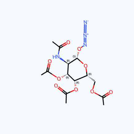 CC(=O)N[C@H]1[C@H](ON=[N+]=[N-])O[C@H](COC(C)=O)[C@H](OC(C)=O)[C@@H]1OC(C)=O